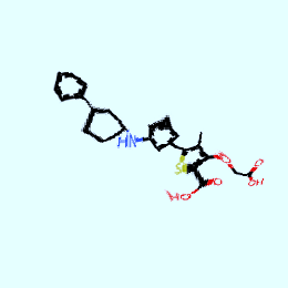 Cc1c(-c2cccc(N[C@H]3CC[C@H](c4ccccc4)CC3)c2)sc(C(=O)O)c1OCC(=O)O